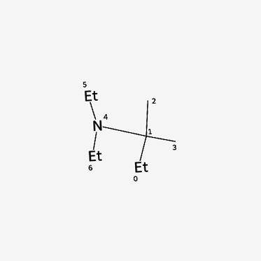 [CH2]CC(C)(C)N(CC)CC